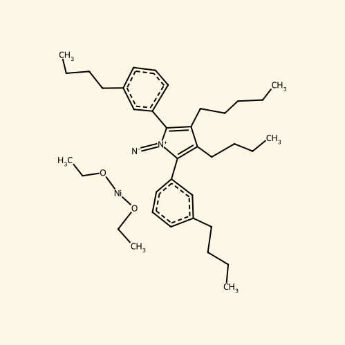 CCCCCC1=C(c2cccc(CCCC)c2)[N+](=[N-])C(c2cccc(CCCC)c2)=C1CCCC.CC[O][Ni][O]CC